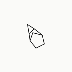 C1CC2C[C]1C1CC21